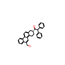 [O]Cc1cc2c3c(ccc2c2ccccc12)C[C@@H](C(=O)C(c1ccccc1)c1ccccc1)CC3